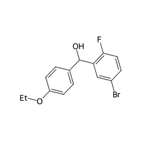 CCOc1ccc(C(O)c2cc(Br)ccc2F)cc1